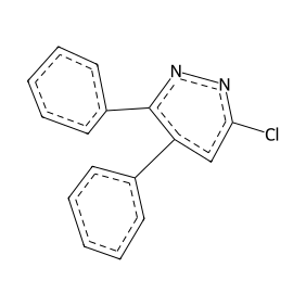 Clc1cc(-c2ccccc2)c(-c2ccccc2)nn1